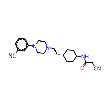 N#CCC(=O)N[C@H]1CC[C@H](CCN2CCN(c3cccc(C#N)c3)CC2)CC1